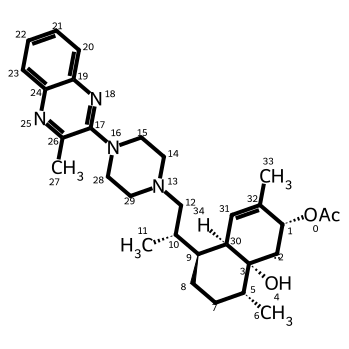 CC(=O)O[C@@H]1[C][C@@]2(O)[C@H](C)CC[C@@H]([C@H](C)CN3CCN(c4nc5ccccc5nc4C)CC3)[C@H]2C=C1C